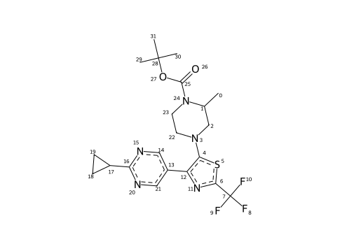 CC1CN(c2sc(C(F)(F)F)nc2-c2cnc(C3CC3)nc2)CCN1C(=O)OC(C)(C)C